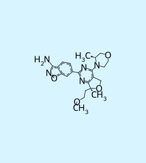 COCC[C@@]1(C)OCc2c(N3CCOC[C@@H]3C)nc(-c3ccc4c(N)noc4c3)nc21